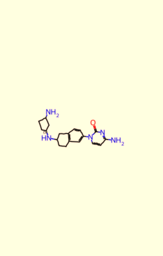 Nc1ccn(-c2ccc3c(c2)CCC(N[C@H]2CCC(N)C2)C3)c(=O)n1